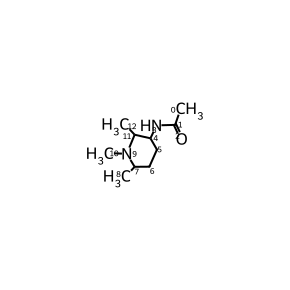 CC(=O)NC1CCC(C)N(C)C1C